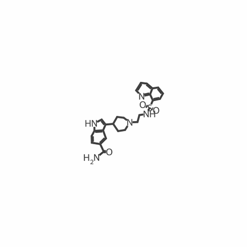 NC(=O)c1ccc2[nH]cc(C3CCN(CCNS(=O)(=O)c4cccc5cccnc45)CC3)c2c1